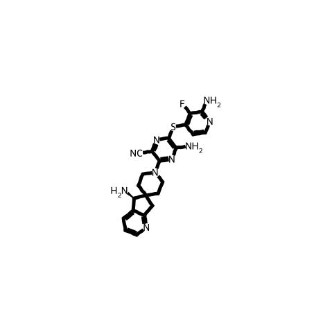 N#Cc1nc(Sc2ccnc(N)c2F)c(N)nc1N1CCC2(CC1)Cc1ncccc1[C@H]2N